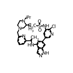 C=C(Nc1cc(-c2cnc(Cl)c(NS(C)(=O)=O)c2)cc2[nH]ncc12)c1cccc(CN2CCN(C(C)C)C(C)C2)n1